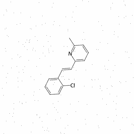 Cc1cccc(C=Cc2ccccc2Cl)n1